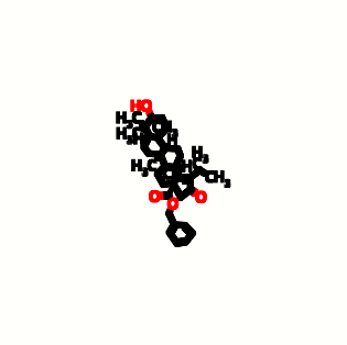 CC(C)C1=C2[C@H]3CC[C@@H]4[C@@]5(C)CC=C(O)C(C)(C)[C@@H]5CC[C@@]4(C)[C@]3(C)CC[C@@]2(C(=O)OCc2ccccc2)CC1=O